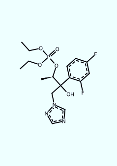 CCOP(=O)(OCC)O[C@H](C)C(O)(Cn1cncn1)c1ccc(F)cc1F